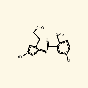 COc1ccc(Cl)cc1C(=O)N=c1sn(C(C)(C)C)cc1CCC=O